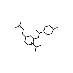 CC(CC1CC(CCN(C)C)CCN1C(C)C)N1CCN(C)CC1